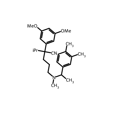 COc1cc(OC)cc(C(C#N)(CCCN(C)C(C)c2ccc(C)c(C)c2)C(C)C)c1